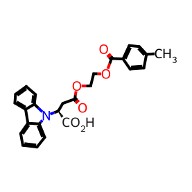 Cc1ccc(C(=O)OCCOC(=O)C[C@@H](C(=O)O)n2c3ccccc3c3ccccc32)cc1